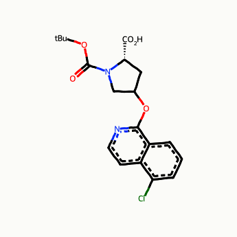 CC(C)(C)OC(=O)N1CC(Oc2nccc3c(Cl)cccc23)C[C@H]1C(=O)O